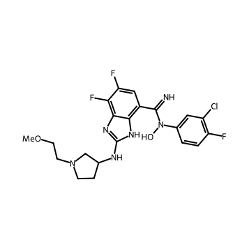 COCCN1CCC(Nc2nc3c(F)c(F)cc(C(=N)N(O)c4ccc(F)c(Cl)c4)c3[nH]2)C1